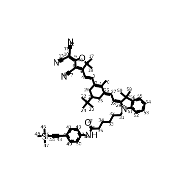 CC1=C(/C=C/C2=C(C#N)C(=C(C#N)C#N)OC2(C)C)CC(C(C)(C)C)C/C1=C\C=C1\N(CCCCCC(=O)Nc2ccc(C#C[Si](C)(C)C)cc2)c2ccccc2C1(C)C